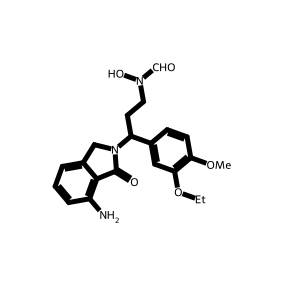 CCOc1cc(C(CCN(O)C=O)N2Cc3cccc(N)c3C2=O)ccc1OC